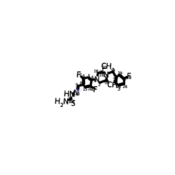 C[C@@H]1CN(c2cc(F)c(/C=N/NC(N)=S)cc2F)C[C@H](C)N1Cc1cccc(F)c1